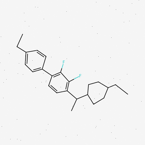 CCc1ccc(-c2ccc(C(C)C3CCC(CC)CC3)c(F)c2F)cc1